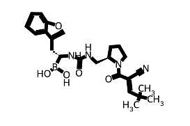 CC(C)(C)C=C(C#N)C(=O)N1CCC[C@@H]1CNC(=O)N[C@@H](Cc1coc2ccccc12)B(O)O